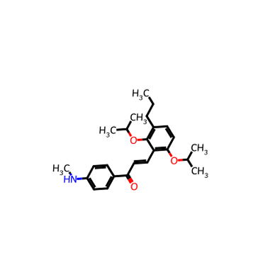 CCCc1ccc(OC(C)C)c(C=CC(=O)c2ccc(NC)cc2)c1OC(C)C